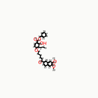 CCCc1c(OCCCCCC(=O)c2ccc3cc(OC)c(OC)cc3c2)ccc(C(=O)OCc2ccccc2)c1O